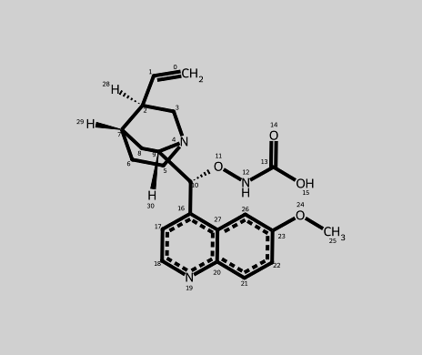 C=C[C@H]1CN2CC[C@H]1C[C@H]2[C@H](ONC(=O)O)c1ccnc2ccc(OC)cc12